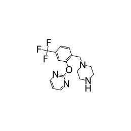 FC(F)(F)c1ccc(CN2CCNCC2)c(Oc2ncccn2)c1